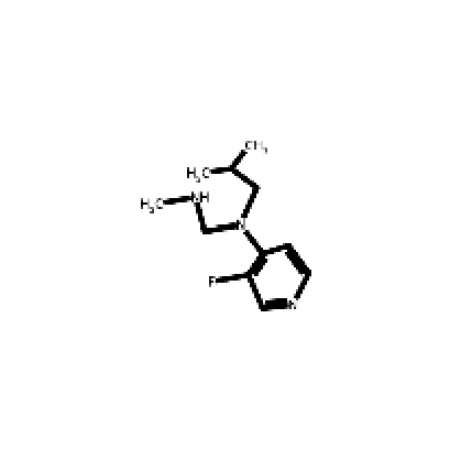 CNCN(CC(C)C)c1ccncc1F